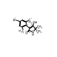 Cc1cc(Br)cc(C)c1C1=C(O)C(C)(C)NC1=O